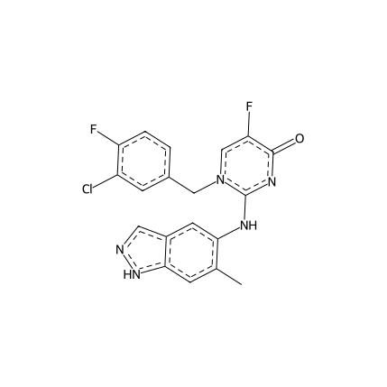 Cc1cc2[nH]ncc2cc1Nc1nc(=O)c(F)cn1Cc1ccc(F)c(Cl)c1